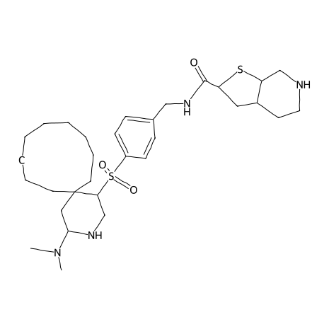 CN(C)C1CC2(CCCCCCCCC2)C(S(=O)(=O)c2ccc(CNC(=O)C3CC4CCNCC4S3)cc2)CN1